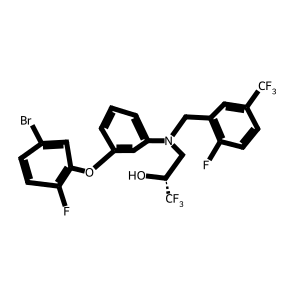 O[C@H](CN(Cc1cc(C(F)(F)F)ccc1F)c1cccc(Oc2cc(Br)ccc2F)c1)C(F)(F)F